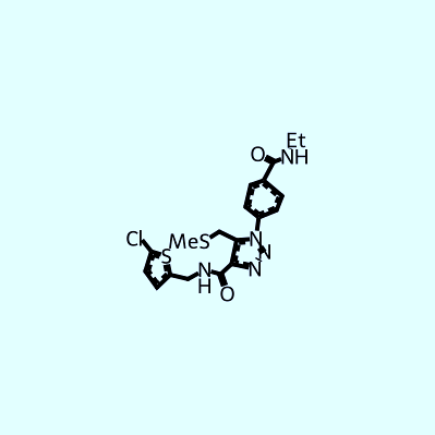 CCNC(=O)c1ccc(-n2nnc(C(=O)NCc3ccc(Cl)s3)c2CSC)cc1